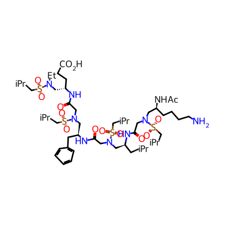 CCN(C[C@H](CCC(=O)O)NC(=O)CN(C[C@H](Cc1ccccc1)NC(=O)CN(C[C@H](CC(C)C)NC(=O)CN(C[C@H](CCCCN)NC(C)=O)S(=O)(=O)CC(C)C)S(=O)(=O)CC(C)C)S(=O)(=O)CC(C)C)S(=O)(=O)CC(C)C